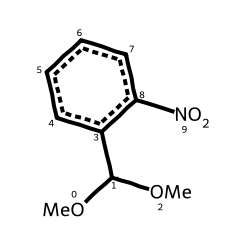 CO[C](OC)c1ccccc1[N+](=O)[O-]